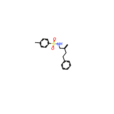 C=C(CCc1ccccc1)CNS(=O)(=O)c1ccc(C)cc1